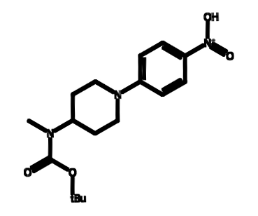 CN(C(=O)OC(C)(C)C)C1CCN(c2ccc([N+](=O)O)cc2)CC1